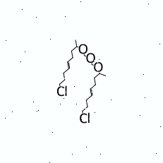 CC(CCC=CCCCCl)OCOCOC(C)CCC=CCCCCl